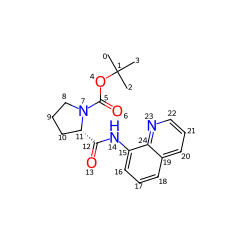 CC(C)(C)OC(=O)N1CCC[C@H]1C(=O)Nc1cccc2cccnc12